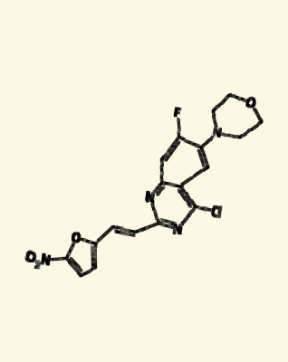 O=[N+]([O-])c1ccc(C=Cc2nc(Cl)c3cc(N4CCOCC4)c(F)cc3n2)o1